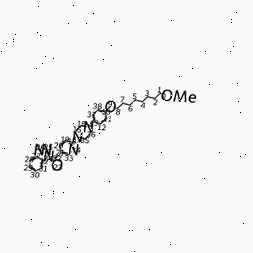 COCCCCCCCCOc1ccc(N2CCN(c3ccc(C(=O)n4nnc5ccccc54)cn3)CC2)cc1